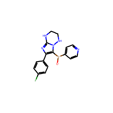 [O-][S+](c1ccncc1)c1c(-c2ccc(F)cc2)nc2n1NCCN2